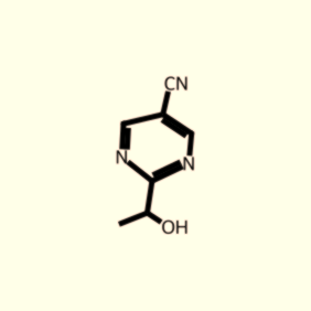 CC(O)c1ncc(C#N)cn1